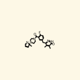 Cc1c(Cc2ccc(F)c(C(=O)N3CCN(C4(C)C=CC=N4)CC3)c2)n[nH]c(=O)c1C